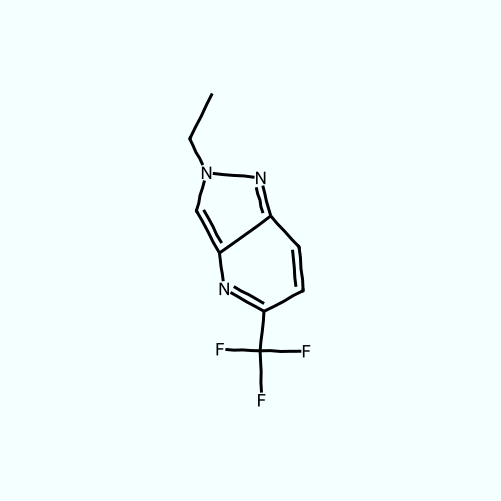 CCn1cc2nc(C(F)(F)F)ccc2n1